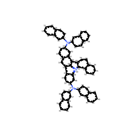 c1ccc2cc(N(c3ccc4ccccc4c3)c3ccc4cc5c6ccc(N(c7ccc8ccccc8c7)c7ccc8ccccc8c7)cc6n6c7c8ccccc8ccc7c(c4c3)c56)ccc2c1